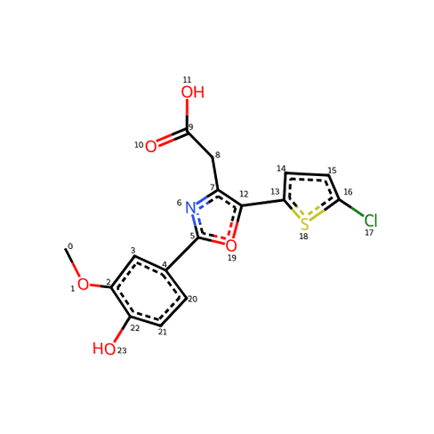 COc1cc(-c2nc(CC(=O)O)c(-c3ccc(Cl)s3)o2)ccc1O